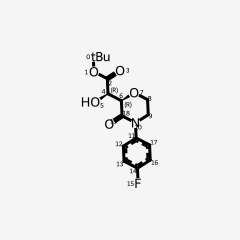 CC(C)(C)OC(=O)[C@H](O)[C@H]1OCCN(c2ccc(F)cc2)C1=O